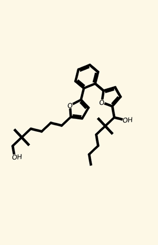 CCCCC(C)(C)C(O)c1ccc(-c2ccccc2-c2ccc(CCCCC(C)(C)CO)o2)o1